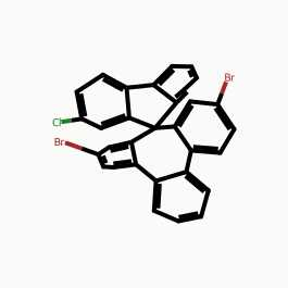 Clc1ccc2c(c1)C1(c3cc(Br)ccc3-c3ccccc3-c3ccc(Br)cc31)c1ccccc1-2